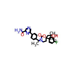 C[C@@H](c1ccc(-c2cncc(C(N)=O)n2)cc1)N1CCC(CC(C)(C)O)(c2ccc(F)cc2)OC1=O